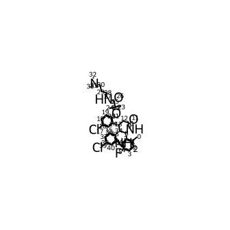 Cc1ccc(F)cc1[C@@H]1NC(=O)C[C@H](c2cc(Cl)ccc2OC(C)(C)C(=O)NCCCN(C)C)[C@@H]1c1ccc(Cl)cc1N